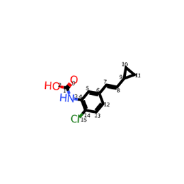 O=C(O)Nc1cc(/C=C/C2CC2)ccc1Cl